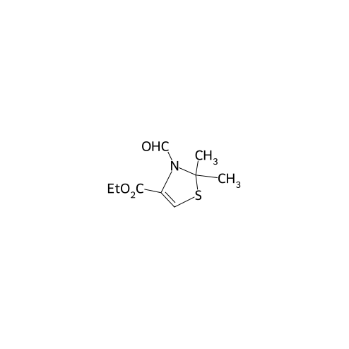 CCOC(=O)C1=CSC(C)(C)N1C=O